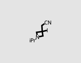 CC(C)N1CC(I)(CC#N)C1